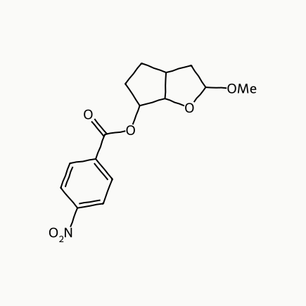 COC1CC2CCC(OC(=O)c3ccc([N+](=O)[O-])cc3)C2O1